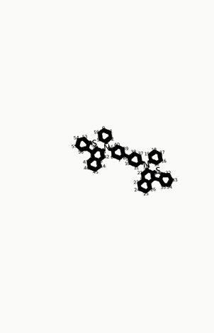 c1ccc(N(c2ccc(-c3ccc(N(c4ccccc4)c4cc5ccccc5c5c4sc4ccccc45)cc3)cc2)c2cc3ccccc3c3c2sc2ccccc23)cc1